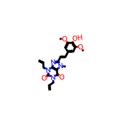 C=CCn1c(=O)c2c(nc(C=Cc3cc(OC)c(O)c(OC)c3)n2C)n(CC=C)c1=O